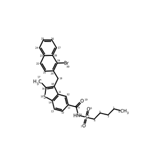 CCCCCS(=O)(=O)NC(=O)c1ccc2sc(C)c(Cc3ccc4ccccc4c3Br)c2c1